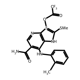 CSC1=S(OC(=O)C(F)(F)F)c2ncc(C(N)=O)c(Nc3ccccc3C)c2N1